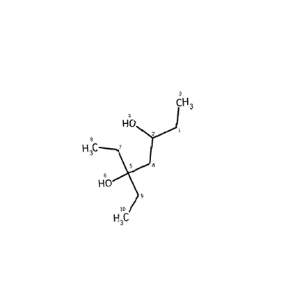 CCC(O)CC(O)(CC)CC